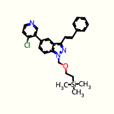 C[Si](C)(C)CCOCn1nc(/C=C/c2ccccc2)c2cc(-c3cnccc3Cl)ccc21